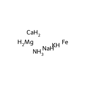 N.[CaH2].[Fe].[KH].[MgH2].[NaH]